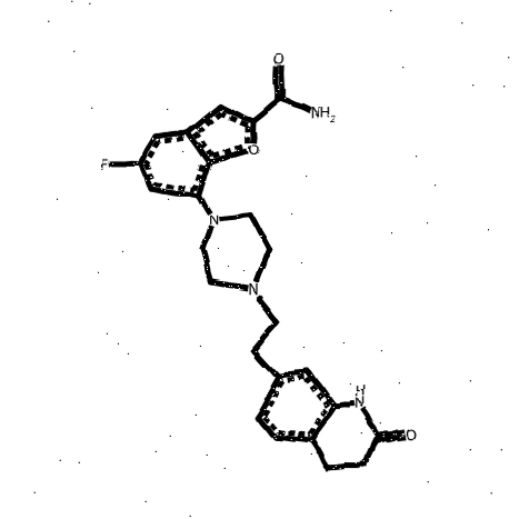 NC(=O)c1cc2cc(F)cc(N3CCN(CCc4ccc5c(c4)NC(=O)CC5)CC3)c2o1